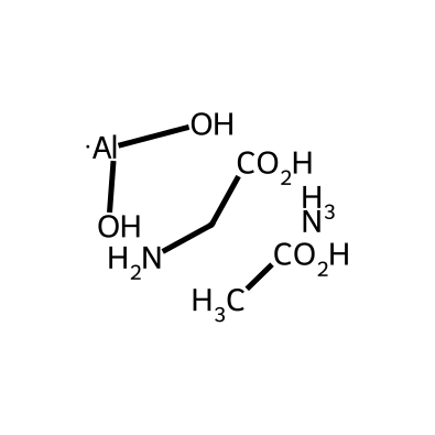 CC(=O)O.N.NCC(=O)O.[OH][Al][OH]